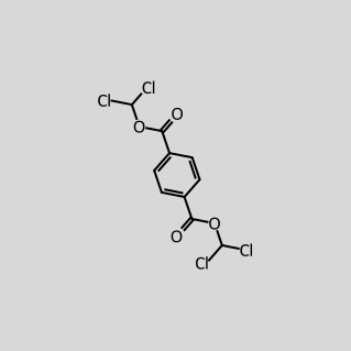 O=C(OC(Cl)Cl)c1ccc(C(=O)OC(Cl)Cl)cc1